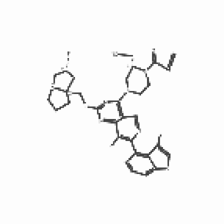 C=CC(=O)N1CCN(c2nc(OC[C@@]34CCCN3C[C@H](F)C4)nc3c(F)c(-c4cccc5scc(F)c45)ncc23)C[C@@H]1CC#N